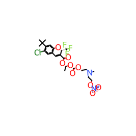 CC(OC(=O)OCCN(C)CCO[N+](=O)[O-])OC(=O)C1=Cc2cc(Cl)c(C(C)(C)C)cc2O[C@@H]1C(F)(F)F